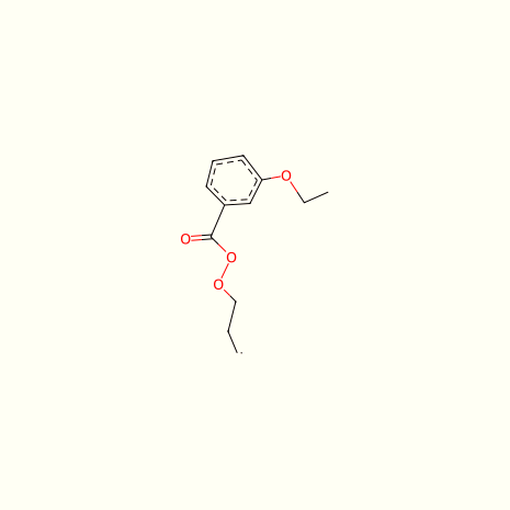 [CH2]CCOOC(=O)c1cccc(OCC)c1